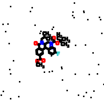 COC(=O)c1ccc2c(=O)n(CC(C)C)c(CNC(=O)OC(C)(C)C)c(-c3ccc(F)cc3)c2c1